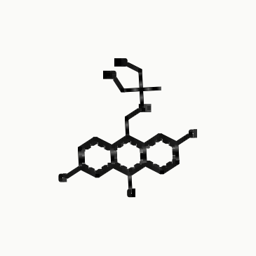 CC(CO)(CO)NCc1c2ccc(Cl)cc2c(Cl)c2ccc(Cl)cc12